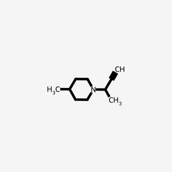 C#CC(C)N1CCC(C)CC1